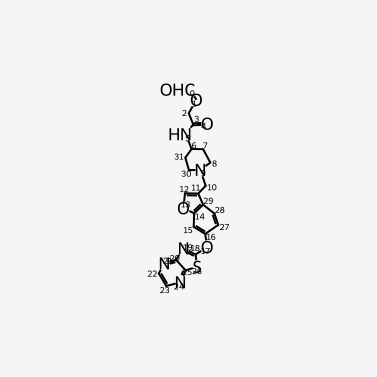 O=COCC(=O)NC1CCN(Cc2coc3cc(Oc4nc5nccnc5s4)ccc23)CC1